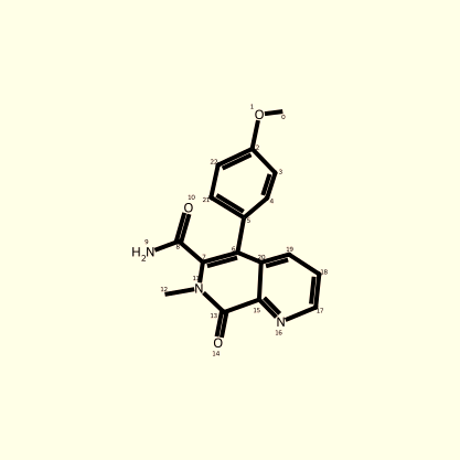 COc1ccc(-c2c(C(N)=O)n(C)c(=O)c3ncccc23)cc1